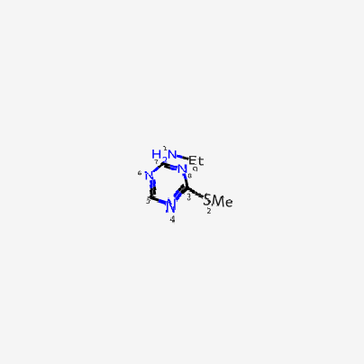 CCN.CSc1ncncn1